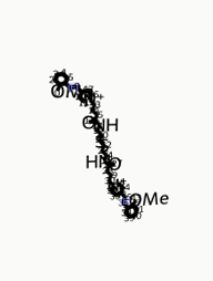 COc1ccccc1/C=C/c1cc[n+](CCCC(=O)NCCSSCCNC(=O)CCC[n+]2ccc(/C=C/c3ccccc3OC)cc2)cc1